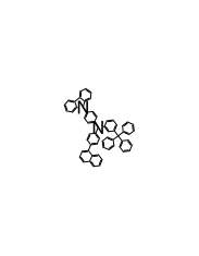 c1ccc(C(c2ccccc2)(c2ccccc2)c2cccc(N(c3ccc(-c4cccc5ccccc45)cc3)c3ccc(-n4c5ccccc5c5ccccc54)cc3)c2)cc1